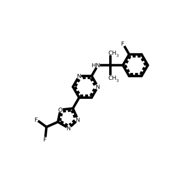 CC(C)(Nc1ncc(-c2nnc(C(F)F)o2)cn1)c1ccccc1F